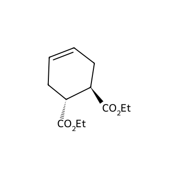 CCOC(=O)[C@@H]1CC=CC[C@H]1C(=O)OCC